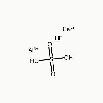 F.O=S(=O)(O)O.[Al+3].[Ca+2]